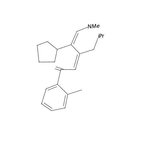 C=C(/C=C(CC(C)C)\C(=C/NC)C1CCCC1)c1ccccc1C